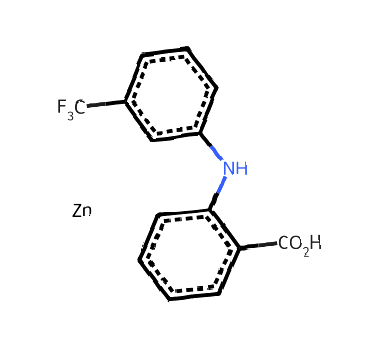 O=C(O)c1ccccc1Nc1cccc(C(F)(F)F)c1.[Zn]